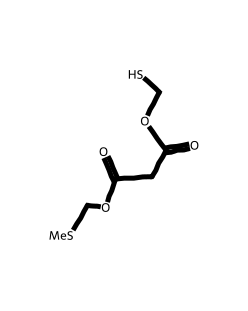 CSCOC(=O)CC(=O)OCS